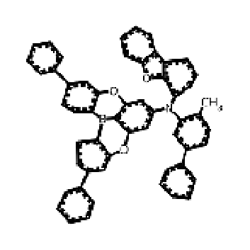 Cc1ccc(-c2ccccc2)cc1N(c1cc2c3c(c1)Oc1cc(-c4ccccc4)ccc1B3c1ccc(-c3ccccc3)cc1O2)c1cccc2c1oc1ccccc12